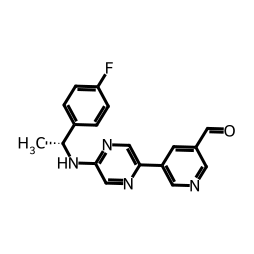 C[C@@H](Nc1cnc(-c2cncc(C=O)c2)cn1)c1ccc(F)cc1